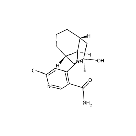 C[C@@]1(O)C[C@H]2CCC[C@@H](C1)[C@@H]2Nc1cc(Cl)ncc1C(N)=O